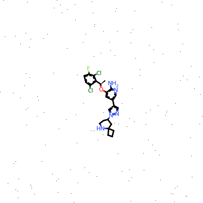 C[C@@H](Oc1cc(-c2cnn(C3CCNC4(CCC4)C3)c2)cnc1N)c1c(Cl)ccc(F)c1Cl